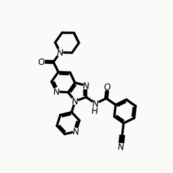 N#Cc1cccc(C(=O)Nc2nc3cc(C(=O)N4CCCCC4)cnc3n2-c2cccnc2)c1